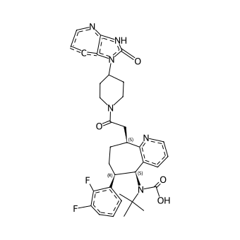 CC(C)(C)N(C(=O)O)[C@@H]1c2cccnc2[C@H](CC(=O)N2CCC(n3c(=O)[nH]c4ncccc43)CC2)CC[C@@H]1c1cccc(F)c1F